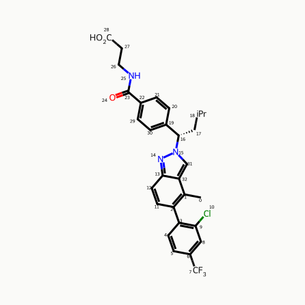 Cc1c(-c2ccc(C(F)(F)F)cc2Cl)ccc2nn([C@@H](CC(C)C)c3ccc(C(=O)NCCC(=O)O)cc3)cc12